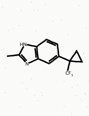 Cc1nc2cc(C3(C(F)(F)F)CC3)ccc2[nH]1